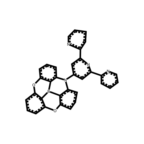 c1ccc(-c2cc(N3c4cccc5c4B4c6c(cccc6Oc6cccc3c64)O5)cc(-c3ccccn3)n2)nc1